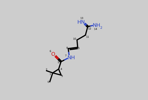 CC1(C)CC1C(=O)N/C=C/CCC(=N)N